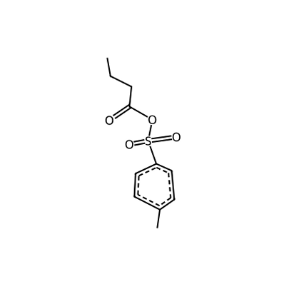 CCCC(=O)OS(=O)(=O)c1ccc(C)cc1